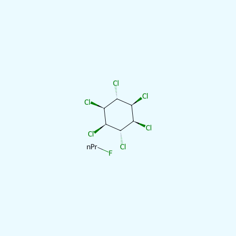 CCCF.Cl[C@H]1[C@H](Cl)[C@@H](Cl)[C@@H](Cl)[C@H](Cl)[C@H]1Cl